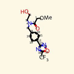 COCC(=O)N(CCO)Cc1ccc(-c2noc(C(F)(F)F)n2)cc1